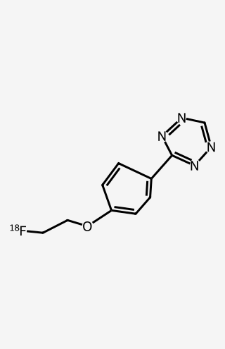 [18F]CCOc1ccc(-c2nncnn2)cc1